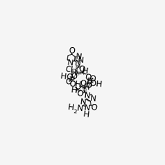 Nc1nc2c(ncn2[C@@H]2O[C@@H]3COP(=O)(O)O[C@H]4[C@H](Cl)[C@H](n5nnc6c5N=CCC6=O)O[C@@H]4COP(=O)(O)O[C@@H]2[C@@H]3O)c(=O)[nH]1